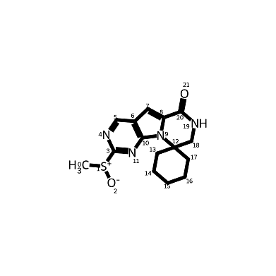 C[S+]([O-])c1ncc2cc3n(c2n1)C1(CCCCC1)CNC3=O